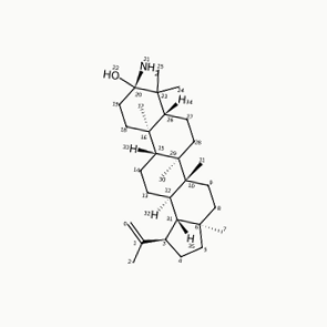 C=C(C)[C@@H]1CC[C@]2(C)CC[C@]3(C)[C@H](CC[C@@H]4[C@@]5(C)CC[C@](N)(O)C(C)(C)[C@@H]5CC[C@]43C)[C@@H]12